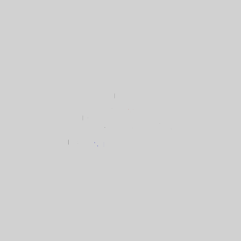 C=CCCC(C)(NC)C(C)=O